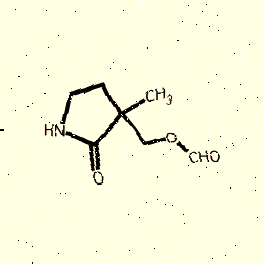 CC1(COC=O)CCNC1=O